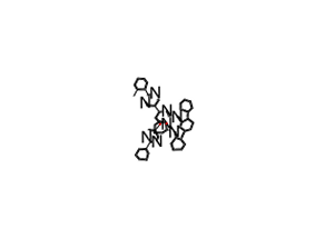 Cc1ccccc1-c1ncc(-c2cc(-c3cnc(-c4ccccc4)nc3)nc(-n3c4ccccc4c4ccc5c6ccccc6n(-c6ccccc6)c5c43)n2)cn1